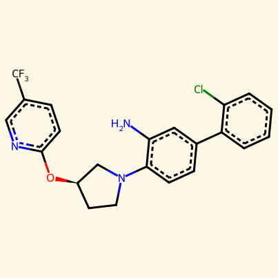 Nc1cc(-c2ccccc2Cl)ccc1N1CC[C@@H](Oc2ccc(C(F)(F)F)cn2)C1